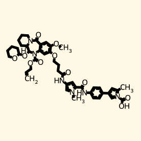 C=CCOC(=O)N1c2cc(OCCCC(=O)Nc3cc(C(=O)Nc4ccc(-c5cc(C)n(C(=O)O)c5)cc4)n(C)c3)c(OC)cc2C(=O)N2CCCC[C@H]2C1OC1CCCCO1